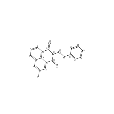 Cc1cc2c3c(cccc3c1)C(=O)N(OCc1ccccc1)C2=O